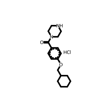 Cl.O=C(c1ccc(OCC2CCCCC2)cc1)N1CCNCC1